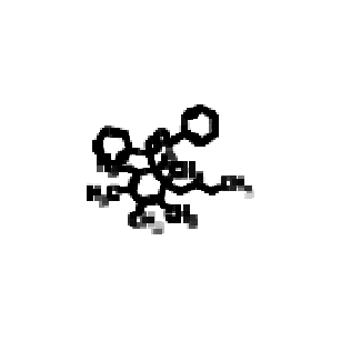 CCCCC1(C)C(C)=C(C)C(C)=C(C)C1(OC(=O)c1ccccc1)C(=O)c1ccccc1